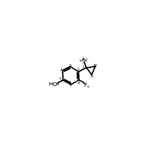 CC(=O)C1(c2ccc(O)cc2F)CC1